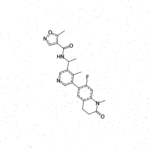 Cc1oncc1C(=O)NC(C)c1cncc(-c2cc3c(cc2F)N(C)C(=O)CC3)c1C